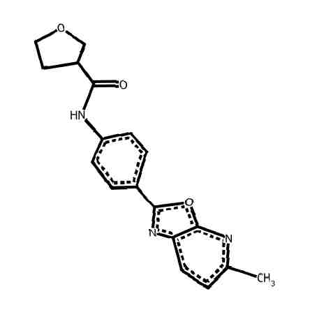 Cc1ccc2nc(-c3ccc(NC(=O)C4CCOC4)cc3)oc2n1